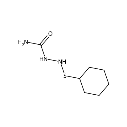 NC(=O)NNSC1CCCCC1